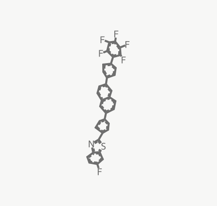 Fc1ccc2nc(-c3ccc(-c4ccc5cc(-c6ccc(-c7c(F)c(F)c(F)c(F)c7F)cc6)ccc5c4)cc3)sc2c1